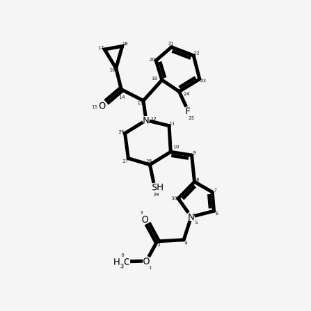 COC(=O)Cn1ccc(C=C2CN(C(C(=O)C3CC3)c3ccccc3F)CCC2S)c1